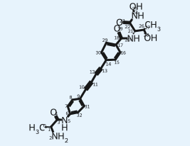 C[C@H](N)C(=O)Nc1ccc(C#CC#Cc2ccc(C(=O)N[C@H](C(=O)NO)[C@@H](C)O)cc2)cc1